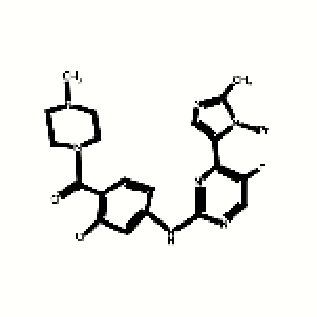 Cc1ncc(-c2nc(Nc3ccc(C(=O)N4CCN(C)CC4)c(Cl)c3)ncc2F)n1C(C)C